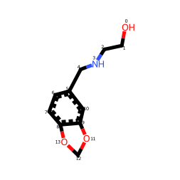 OCCNCc1ccc2c(c1)OCO2